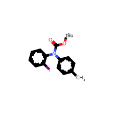 Cc1ccc(N(C(=O)OC(C)(C)C)c2ccccc2I)cc1